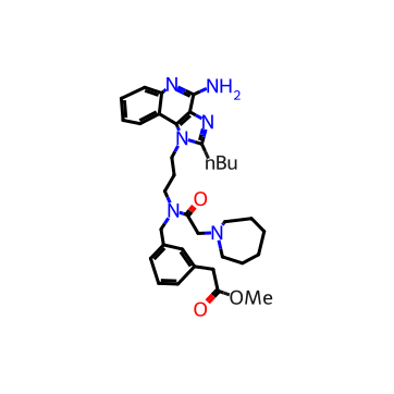 CCCCc1nc2c(N)nc3ccccc3c2n1CCCN(Cc1cccc(CC(=O)OC)c1)C(=O)CN1CCCCCC1